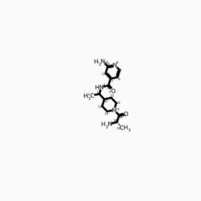 CC(NC(=O)c1ccnc(N)c1)C1CCN(C(=O)[C@H](C)N)CC1